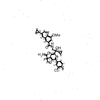 COc1cc(C(=O)NC[C@](O)(c2cc3c(c(-c4ccc(F)c(Cl)c4)n2)OC[C@]3(C)C(N)=O)C2CC2)cc2cc(C3CC3)cnc12